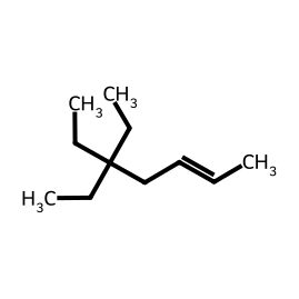 CC=CCC(CC)(CC)CC